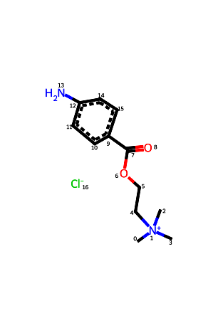 C[N+](C)(C)CCOC(=O)c1ccc(N)cc1.[Cl-]